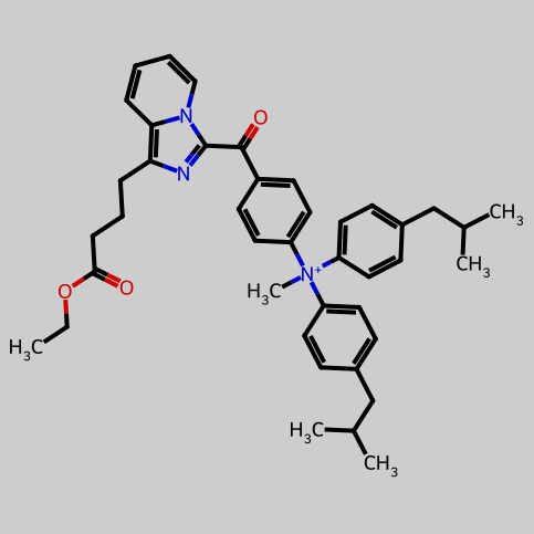 CCOC(=O)CCCc1nc(C(=O)c2ccc([N+](C)(c3ccc(CC(C)C)cc3)c3ccc(CC(C)C)cc3)cc2)n2ccccc12